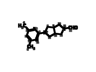 Cc1cc(C)nc(N2CC3CN(C=O)CC3C2)n1